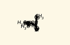 COC(=O)CCCCCCC(COC1CCCCO1)NCCC(O)COc1ccc(OC)cc1OC